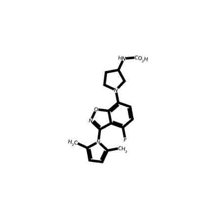 Cc1ccc(C)n1-c1noc2c(N3CCC(NC(=O)O)C3)ccc(F)c12